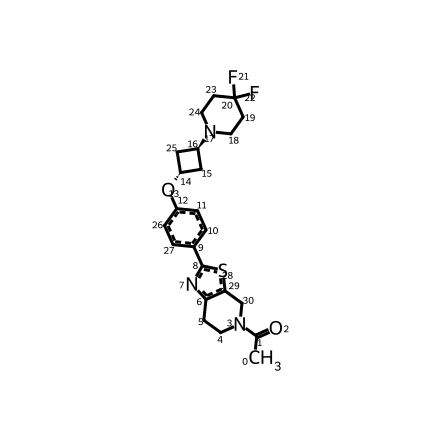 CC(=O)N1CCc2nc(-c3ccc(O[C@H]4C[C@H](N5CCC(F)(F)CC5)C4)cc3)sc2C1